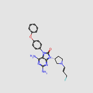 Nc1nc(N)c2c(n1)n([C@@H]1CCN(C=CCF)C1)c(=O)n2-c1ccc(Oc2ccccc2)cc1